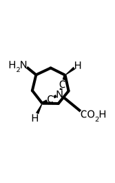 NC1C[C@H]2CC[C@@H](C1)CN(C(=O)O)C2